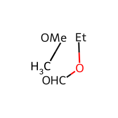 CCOC=O.COC